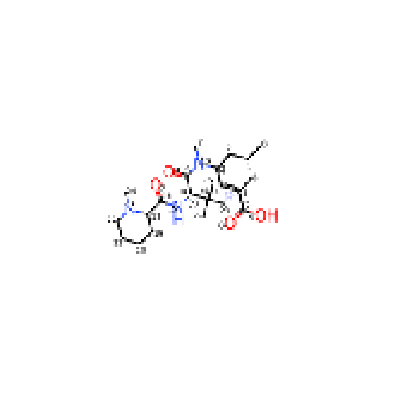 CCC[C@@H](/C=C(\C)C(=O)O)N(C)C(=O)[C@@H](NC(=O)C1CCCCN1C)C(C)(C)C